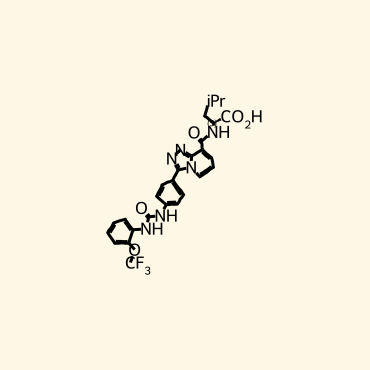 CC(C)C[C@H](NC(=O)c1cccn2c(-c3ccc(NC(=O)Nc4ccccc4OC(F)(F)F)cc3)nnc12)C(=O)O